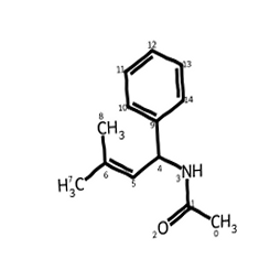 CC(=O)NC(C=C(C)C)c1ccccc1